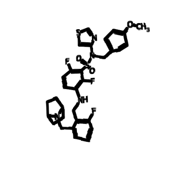 COc1ccc(CN(c2cscn2)S(=O)(=O)c2c(F)ccc(NCc3c(F)cccc3CN3C4CCC3CC4)c2F)cc1